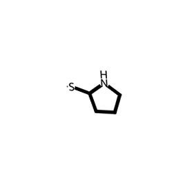 [S]C1CCCN1